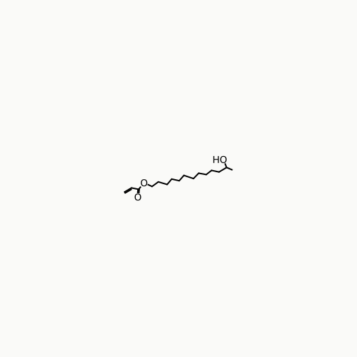 C=CC(=O)OCCCCCCCCCCCC(C)O